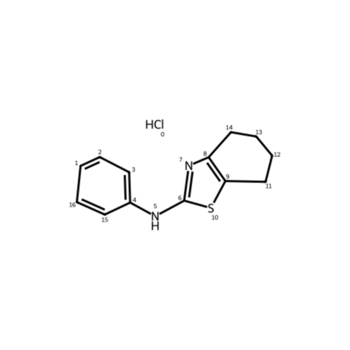 Cl.c1ccc(Nc2nc3c(s2)CCCC3)cc1